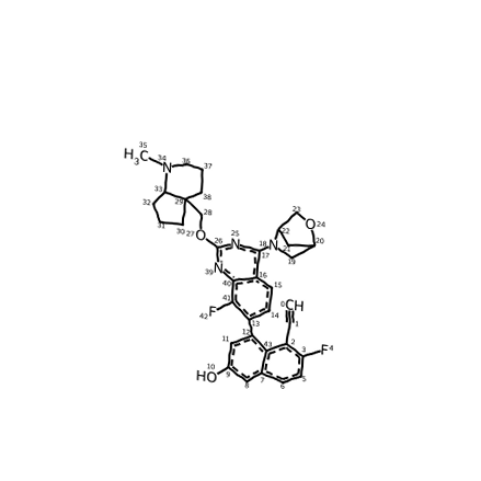 C#Cc1c(F)ccc2cc(O)cc(-c3ccc4c(N5CC6CC5CO6)nc(OCC56CCCC5N(C)CCC6)nc4c3F)c12